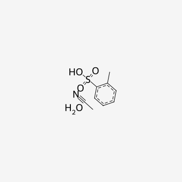 CC#N.Cc1ccccc1S(=O)(=O)O.O